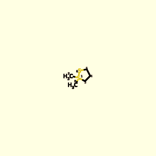 CS1(C)CCCS1